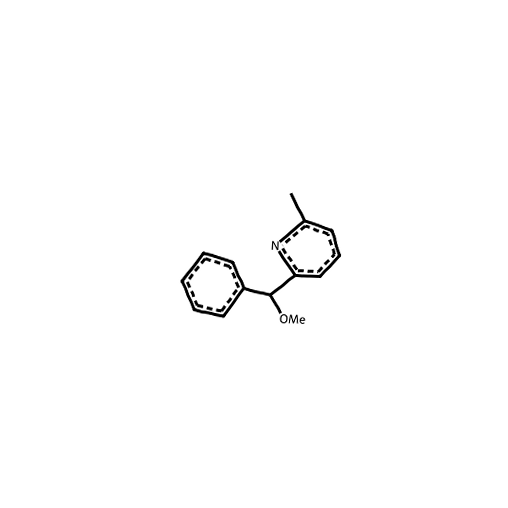 COC(c1ccccc1)c1cccc(C)n1